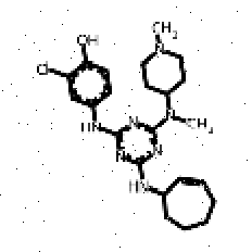 CN1CCC(N(C)c2nc(Nc3ccc(O)c(Cl)c3)nc(NC3C=CCCCC3)n2)CC1